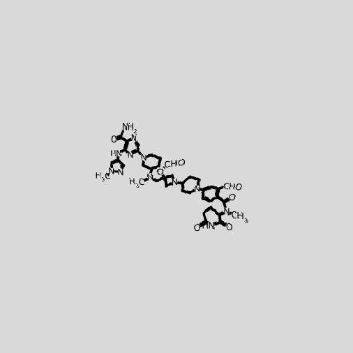 CN(CC1(OC=O)CN(C2CCN(c3ccc(C(=O)N(C)C4CCC(=O)NC4=O)c(C=O)c3)CC2)C1)C1CCCN(c2cnc(C(N)=O)c(Nc3cnn(C)c3)n2)C1